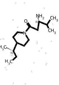 CC[C@H](C)C1CCN(C(=O)C[C@H](N)C(C)C)CC1